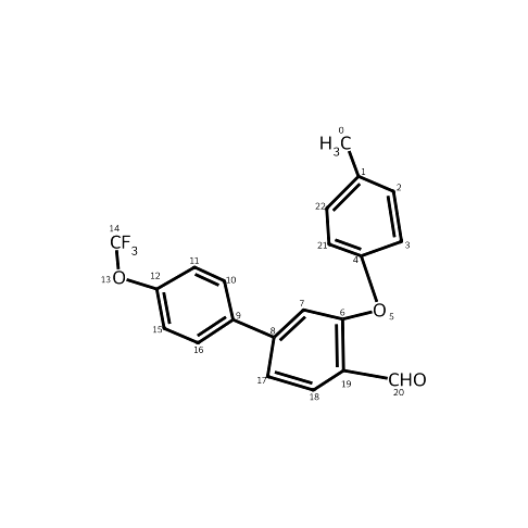 Cc1ccc(Oc2cc(-c3ccc(OC(F)(F)F)cc3)ccc2C=O)cc1